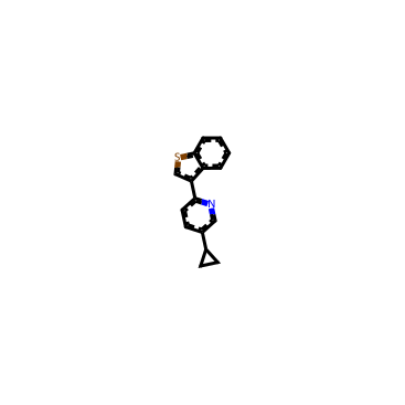 c1ccc2c(-c3ccc(C4CC4)cn3)csc2c1